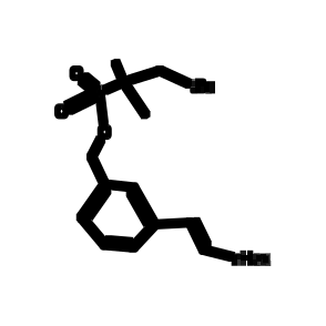 CCCCCCC=Cc1cccc(COS(=O)(=O)C(C)(C)CC(C)(C)C)c1